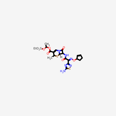 CCOC(=O)OC(C)OC(=O)C1=CN2C(=O)C(NC(=O)C(=NOC3C=CCC3)c3nsc(N)n3)[C@H]2SC1C